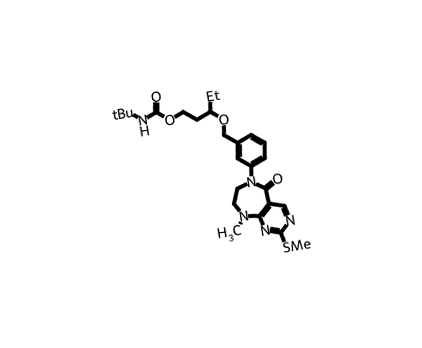 CCC(CCOC(=O)NC(C)(C)C)OCc1cccc(N2CCN(C)c3nc(SC)ncc3C2=O)c1